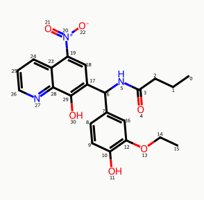 CCCC(=O)NC(c1ccc(O)c(OCC)c1)c1cc([N+](=O)[O-])c2cccnc2c1O